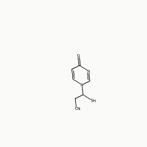 N#CCC(S)n1ccc(=O)nc1